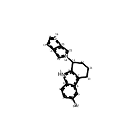 Brc1ccc2[nH]c3c(c2c1)CCCC3n1cc2ccsc2c1